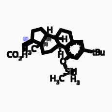 C[SiH](C)Oc1cc(C(C)(C)C)cc2c1[C@H]1CC[C@]3(C)/C(=C\C(=O)O)CC[C@H]3[C@@H]1CC2